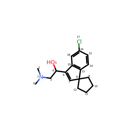 CN(C)CC(O)C1=CC2(CCCC2)c2ccc(Cl)cc21